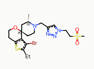 CCc1sc2c(c1Br)[C@]1(CCN(Cc3cn(CCS(C)(=O)=O)nn3)[C@@H](C)C1)OCC2